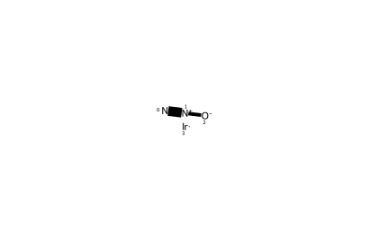 N#[N+][O-].[Ir]